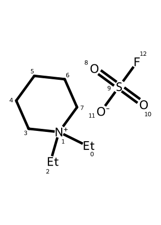 CC[N+]1(CC)CCCCC1.O=S(=O)([O-])F